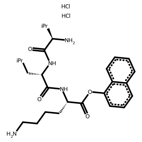 CC(C)C[C@H](NC(=O)[C@H](N)C(C)C)C(=O)N[C@@H](CCCCN)C(=O)Oc1cccc2ccccc12.Cl.Cl